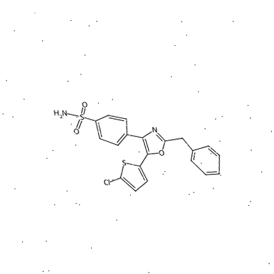 NS(=O)(=O)c1ccc(-c2nc(Cc3ccccc3)oc2-c2ccc(Cl)s2)cc1